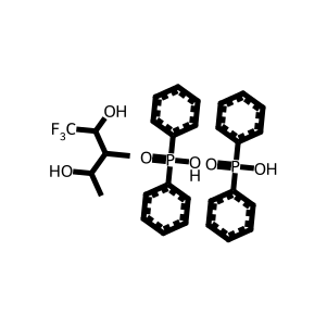 CC(O)C(C)C(O)C(F)(F)F.O=P(O)(c1ccccc1)c1ccccc1.O=P(O)(c1ccccc1)c1ccccc1